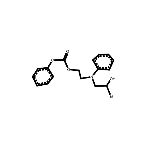 CCC(O)CN(CCOC(=O)Oc1ccccc1)c1ccccc1